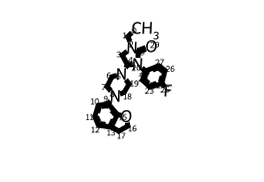 CCN1CC(N2CCN(c3cccc4c3OCC4)CC2)N(c2ccc(F)cc2)C1=O